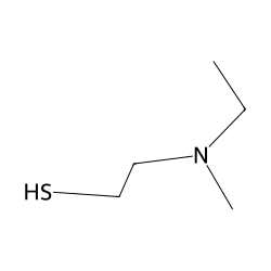 CCN(C)CCS